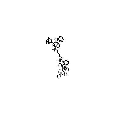 O=C1CCC(N2C(=O)c3cccc(NCCCCCCC(=O)NC(c4cncnc4)c4cc5ccccc5o4)c3C2=O)C(=O)N1